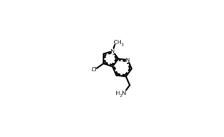 Cn1cc(Cl)c2cc(CN)cnc21